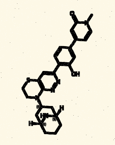 Cn1ccc(-c2ccc(-c3cc4c(nn3)N([C@@H]3C[C@H]5CCC[C@@H](C3)N5)CCS4)c(O)c2)cc1=O